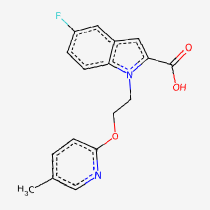 Cc1ccc(OCCn2c(C(=O)O)cc3cc(F)ccc32)nc1